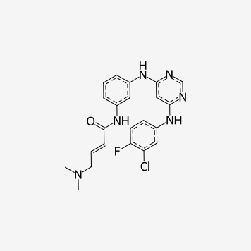 CN(C)C/C=C/C(=O)Nc1cccc(Nc2cc(Nc3ccc(F)c(Cl)c3)ncn2)c1